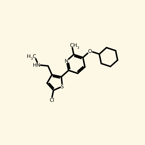 CNCc1cc(Cl)sc1-c1ccc(OC2CCCCC2)c(C)n1